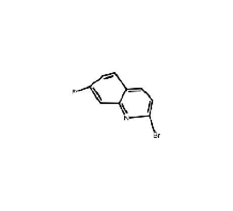 Fc1ccc2ccc(Br)nc2c1